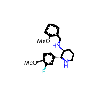 COc1ccc([C@@H]2NCCC[C@@H]2NCc2ccccc2OC)cc1F